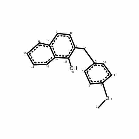 COc1ccc(Cc2ccc3ccccc3c2O)cc1